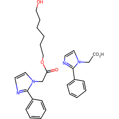 O=C(Cn1ccnc1-c1ccccc1)OCCCCCCO.O=C(O)Cn1ccnc1-c1ccccc1